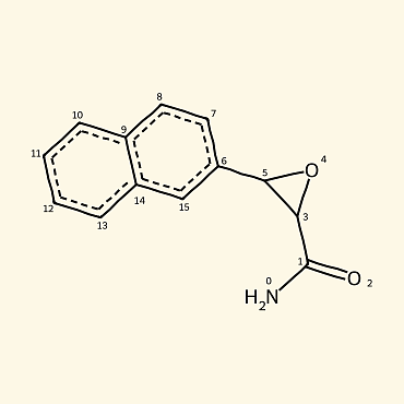 NC(=O)C1OC1c1ccc2ccccc2c1